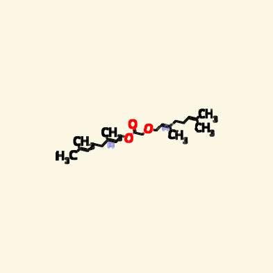 CC(C)=CCC/C(C)=C/COCC(=O)OC/C=C(\C)CCC=C(C)C